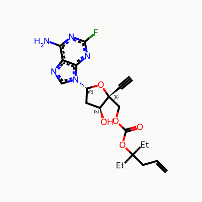 C#C[C@]1(COC(=O)OC(CC)(CC)CC=C)O[C@@H](n2cnc3c(N)nc(F)nc32)C[C@@H]1O